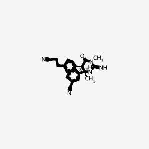 CN1C(=N)N[C@](C)(c2cccc(C#N)c2)[C@@H](c2ccc(CCC#N)cc2)C1=O